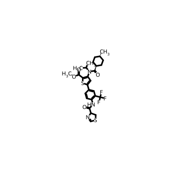 COC(=O)c1sc(-c2ccc(NC(=O)C3CSC=N3)c(C(F)(F)F)c2)cc1N(C(=O)[C@H]1CC[C@H](C)CC1)C(C)C